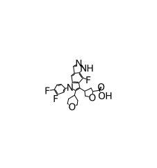 O=C(O)C1CC(c2c(C3CCOCC3)n(-c3ccc(F)c(F)c3)c3cc4cn[nH]c4c(F)c23)CO1